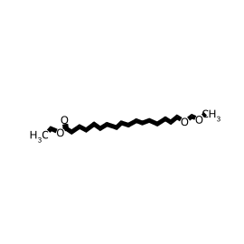 CCOC(=O)CCCCCCCCCCCCCCCCOCOC